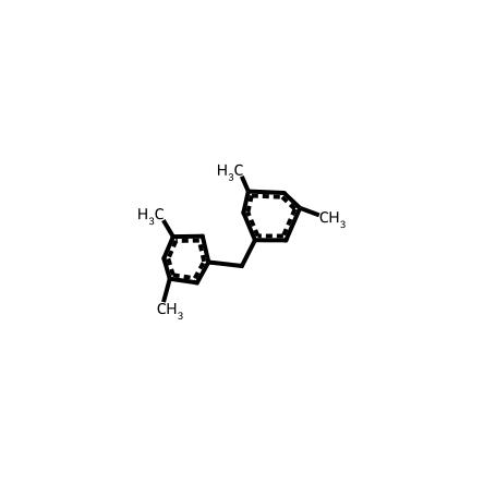 Cc1cc(C)cc(Cc2cc(C)cc(C)c2)c1